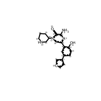 Nc1nc(-c2cc(-c3ccoc3)ccc2O)cn(C2CCCNC2)c1=O